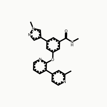 CNC(=O)c1cc(Oc2ncccc2-c2ccnc(C)c2)cc(-c2cnn(C)c2)c1